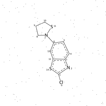 Clc1nc2ccc(N3CCCS3)cc2s1